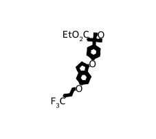 CCOC(=O)CC1(c2ccc(OC3CCc4cc(OCCCC(F)(F)F)ccc43)cc2)COC1